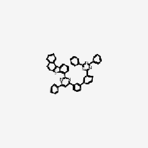 c1ccc(-c2cc(-c3cccc(-c4cccc(-c5nc(-c6ccccc6)nc(-c6ccccc6)n5)c4)c3)nc(-c3cccc4c3sc3ccc5ccccc5c34)n2)cc1